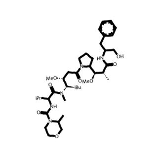 CC[C@H](C)[C@@H]([C@@H](CC(=O)N1CCCC1[C@H](OC)[C@@H](C)C(=O)NC(CO)Cc1ccccc1)OC)N(C)C(=O)C(NC(=O)N1CCOCC1C)C(C)C